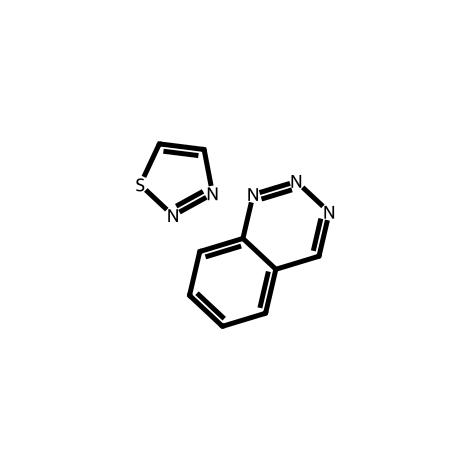 c1ccc2nnncc2c1.c1csnn1